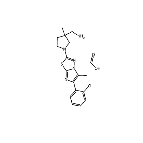 Cc1c(-c2ccccc2Cl)nc2sc(N3CCC(C)(CN)C3)nn12.O=CO